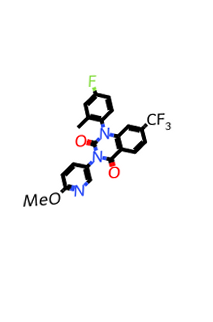 COc1ccc(-n2c(=O)c3ccc(C(F)(F)F)cc3n(-c3ccc(F)cc3C)c2=O)cn1